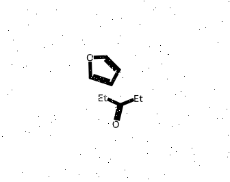 CCC(=O)CC.c1ccoc1